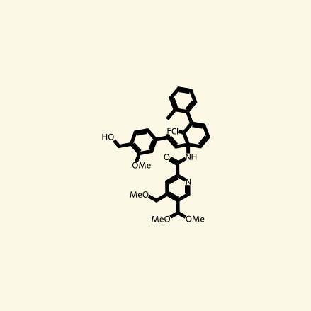 COCc1cc(C(=O)NC2(/C=C(\F)c3ccc(CO)c(OC)c3)C=CC=C(c3ccccc3C)C2Cl)ncc1C(OC)OC